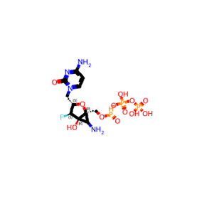 Nc1ccn(C[C@@H]2O[C@@]3(CO[PH](=O)OP(=O)(O)OP(=O)(O)O)C(N)[C@]3(O)[C@H]2F)c(=O)n1